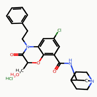 CC1Oc2c(C(=O)NC3CN4CCC3CC4)cc(Cl)cc2N(CCc2ccccc2)C1=O.Cl.O